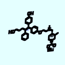 CC1CN(C(=O)OC(C)(C)C)CC[C@H]1CN(C)CCOc1ccc(/C(=C(/CCCO)c2ccccc2)c2ccc(O)cc2)cc1